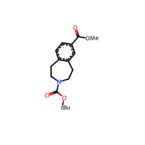 COC(=O)c1ccc2c(c1)CCN(C(=O)OC(C)(C)C)CC2